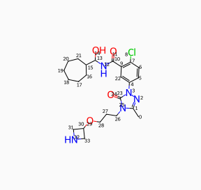 Cc1nn(-c2ccc(Cl)c(C(=O)NC(O)C3CCCCCC3)c2)c(=O)n1CCCOC1CNC1